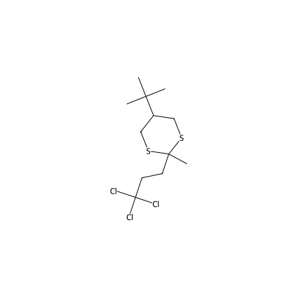 CC1(CCC(Cl)(Cl)Cl)SCC(C(C)(C)C)CS1